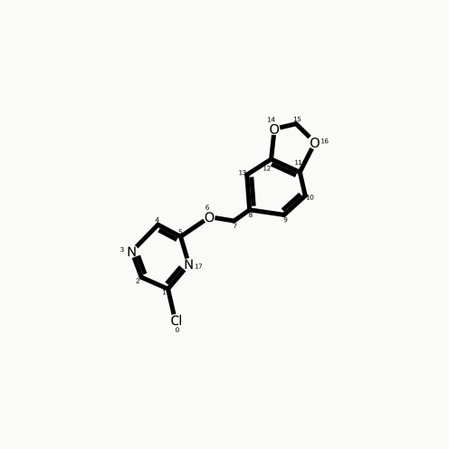 Clc1cncc(OCc2ccc3c(c2)OCO3)n1